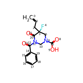 C=CC[C@]1(F)CN(C(=O)O)CN(C(=O)c2ccccc2)C1=O